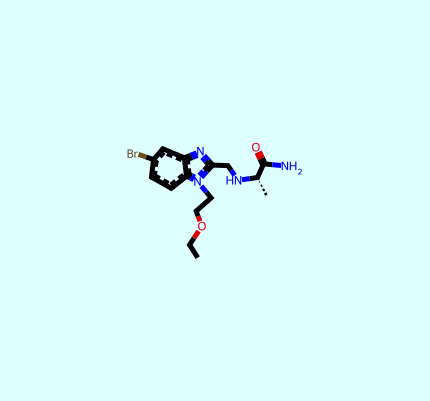 CCOCCn1c(CN[C@@H](C)C(N)=O)nc2cc(Br)ccc21